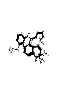 COc1cccc2c1-c1ccc3c(c1[C@H]([C@@H]1C=CCC1)O2)C(C)=CC(C)(C)N3